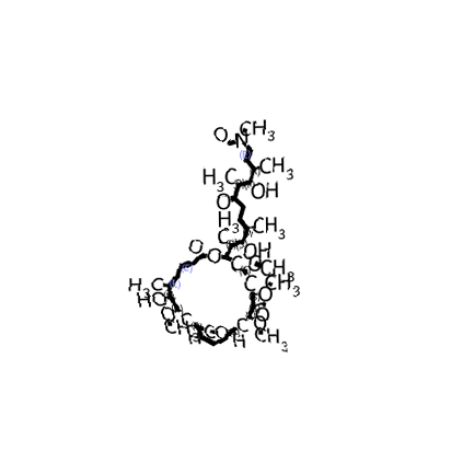 CO[C@H]1CC([C@H](C)[C@@H](O)[C@@H](C)CCC(=O)[C@H](C)[C@H](O)[C@H](C)/C=C/N(C)C=O)OC(=O)/C=C/C=C(\C)[C@H](O)[C@H](OC)C[C@@H]2C=CC[C@@H](C[C@H](OC)[C@]3(CO3)[C@@H](OC)C1)OC2